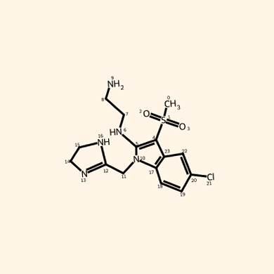 CS(=O)(=O)c1c(NCCN)n(CC2=NCCN2)c2ccc(Cl)cc12